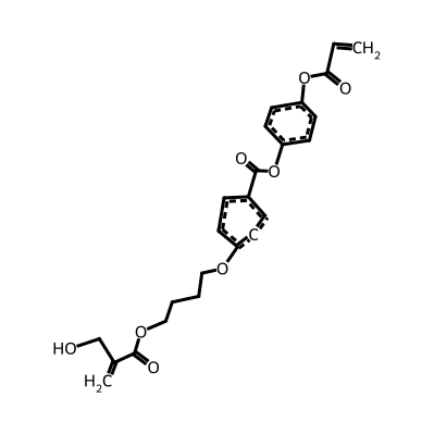 C=CC(=O)Oc1ccc(OC(=O)c2ccc(OCCCCOC(=O)C(=C)CO)cc2)cc1